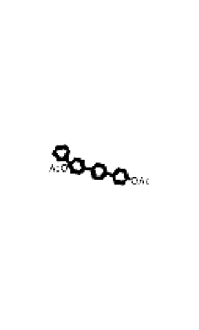 CC(=O)Oc1ccc(-c2ccc(C3=CCC(OC(C)=O)(c4ccccc4)C=C3)cc2)cc1